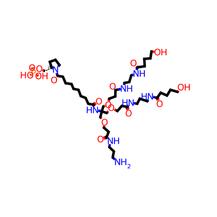 NCCCNC(=O)CCOCC(COCCC(=O)NCCCNC(=O)CCCCO)(COCCC(=O)NCCCNC(=O)CCCCO)NC(=O)CCCCCCCCC(=O)N1CCC[C@H]1COP(=O)(O)O